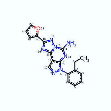 CCc1ccccc1-n1ncc2c1nc(N)n1nc(-c3ccco3)nc21